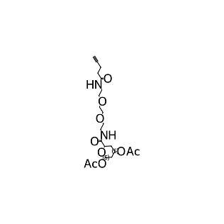 C#CCCC(=O)NCCOCCOCCNC(=O)C1C[C@H](OC(C)=O)C[C@H](OC(C)=O)O1